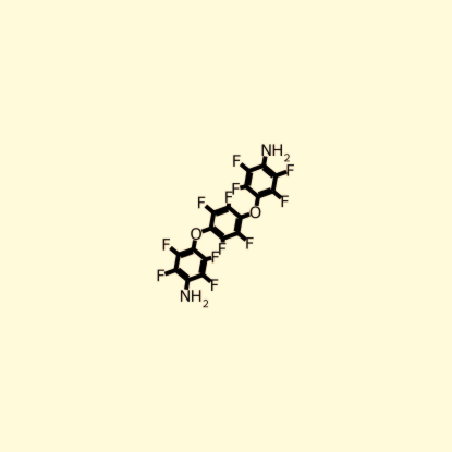 Nc1c(F)c(F)c(Oc2c(F)c(F)c(Oc3c(F)c(F)c(N)c(F)c3F)c(F)c2F)c(F)c1F